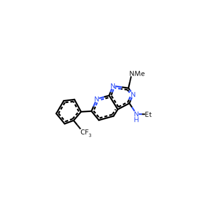 CCNc1nc(NC)nc2nc(-c3ccccc3C(F)(F)F)ccc12